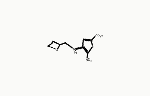 O=C(O)c1cc(NCC2CCO2)c([N+](=O)[O-])s1